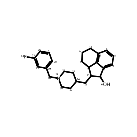 OC1c2cccc3c2C(CCC3)C1CC1CCN(Cc2cccc(F)c2)CC1